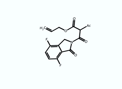 C=CCOC(=O)C(C(C)=O)C(=O)N1Cc2c(F)ccc(F)c2C1=O